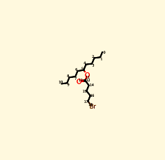 CCCCCC(CCCCC)OC(=O)CCCCBr